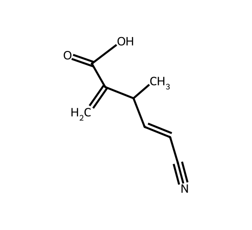 C=C(C(=O)O)C(C)C=CC#N